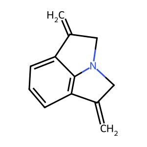 C=C1CN2CC(=C)c3cccc1c32